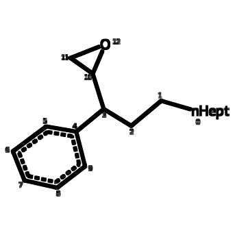 CCCCCCCCCC(c1ccccc1)C1CO1